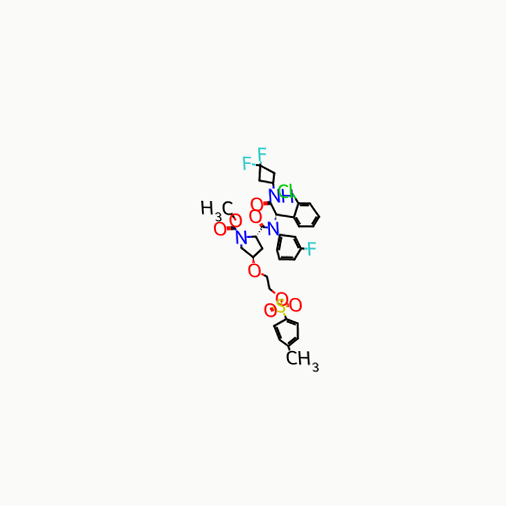 COC(=O)N1C[C@H](OCCOS(=O)(=O)c2ccc(C)cc2)C[C@H]1C(=O)N(c1cccc(F)c1)[C@H](C(=O)NC1CC(F)(F)C1)c1ccccc1Cl